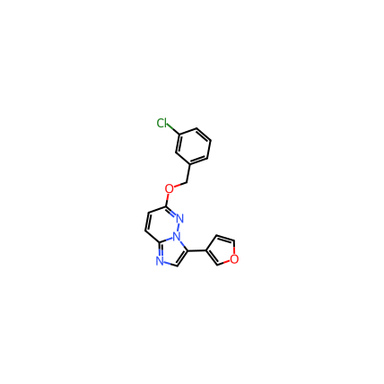 Clc1cccc(COc2ccc3ncc(-c4ccoc4)n3n2)c1